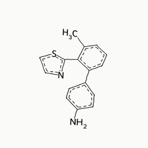 Cc1cccc(-c2ccc(N)cc2)c1-c1nccs1